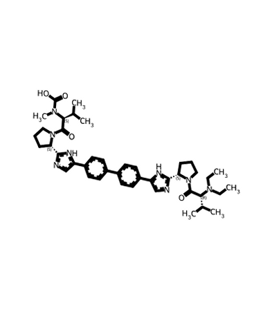 CCN(CC)[C@@H](C(=O)N1CCC[C@H]1c1ncc(-c2ccc(-c3ccc(-c4cnc([C@@H]5CCCN5C(=O)[C@H](C(C)C)N(C)C(=O)O)[nH]4)cc3)cc2)[nH]1)C(C)C